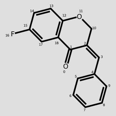 O=C1C(=Cc2ccccc2)COc2ccc(F)cc21